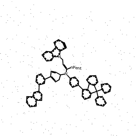 CCCCC/C(=C\Cn1c2c#cccc2c2ccccc21)N(c1ccc(-c2cccc3c2-c2ccccc2C3(c2ccccc2)c2ccccc2)cc1)C1C=CC(c2cccc(-c3ccc4ccccc4c3)c2)=CC1